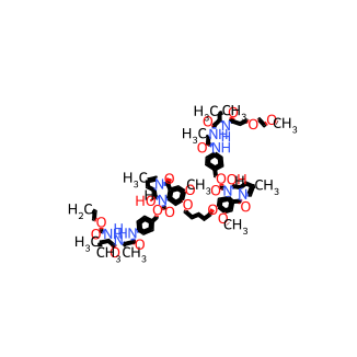 C=CCOC(=O)N[C@@H](C(=O)N[C@H](C)C(=O)Nc1ccc(COC(=O)N2c3cc(OCCCCCOc4cc5c(cc4OC)C(=O)N4C=C(C)C[C@H]4[C@H](O)N5C(=O)OCc4ccc(NC(=O)[C@@H](C)NC(=O)[C@H](NC(=O)CCOCCOC)C(C)C)cc4)c(OC)cc3C(=O)N3C=C(C)C[C@H]3[C@@H]2O)cc1)C(C)C